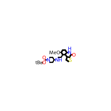 COc1ccc2[nH]c(=O)c3sccc3c2c1CCNC1CCN(C(=O)OC(C)(C)C)CC1